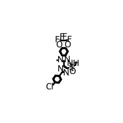 CC[S@@](=N)(=O)c1c(-c2nc3cc4c(cc3n2C)OC(F)(F)C(F)(F)O4)nc(-c2ccc(Cl)cc2)n1C